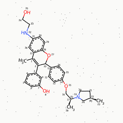 CC1=C(c2cccc(O)c2)C(c2ccc(OC[C@H](C)N3CC[C@@H](C)C3)cc2)Oc2ccc(NCCO)cc21